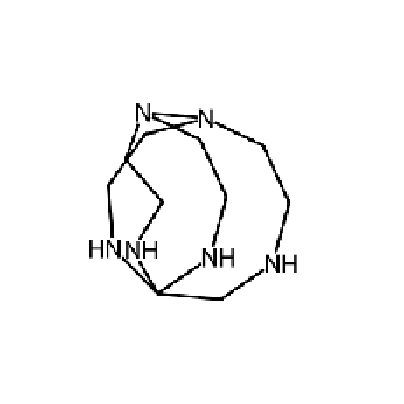 C1CN2CCNC3(CN1)NCCN2CCN3